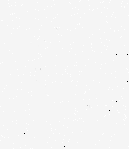 Cc1[nH]c(/C=C2\C(=O)Nc3ccc(-c4csc(-c5cccnc5)n4)cc32)c(C)c1C(=O)N1CCN(C)CC1